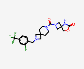 O=C1NC2(CO1)CN(C(=O)N1CCC3(CC1)CN(Cc1ccc(C(F)(F)F)cc1F)C3)C2